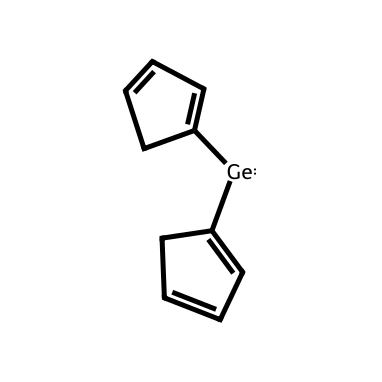 C1=CC[C]([Ge][C]2=CC=CC2)=C1